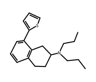 CCCN(CCC)C1CCc2cccc(-c3cccs3)c2C1